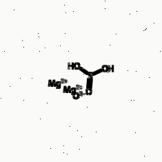 O=S(O)O.[Mg+2].[Mg+2].[O-2]